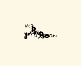 COc1ccc(C(=O)c2nccc(NNC(=O)c3ccc(OC)cc3OCCCNC(=O)c3cccs3)c2N)cc1